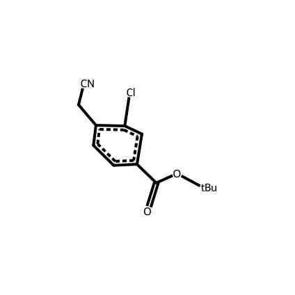 CC(C)(C)OC(=O)c1ccc(CC#N)c(Cl)c1